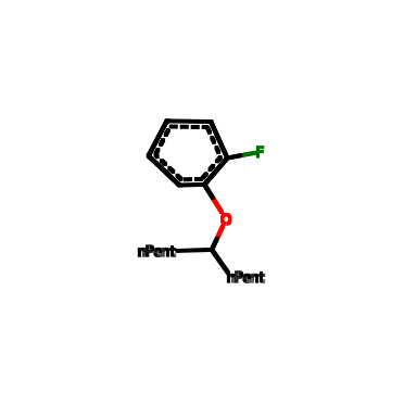 CCCCCC(CCCCC)Oc1ccccc1F